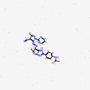 CC(=O)Nc1ccc(-c2nn3nc(C)c(/N=N/c4c(C#N)c(C)nn4-c4ncccn4)c3[nH]2)cc1